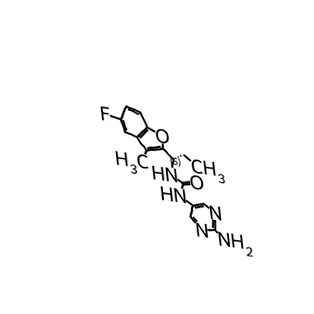 CC[C@H](NC(=O)Nc1cnc(N)nc1)c1oc2ccc(F)cc2c1C